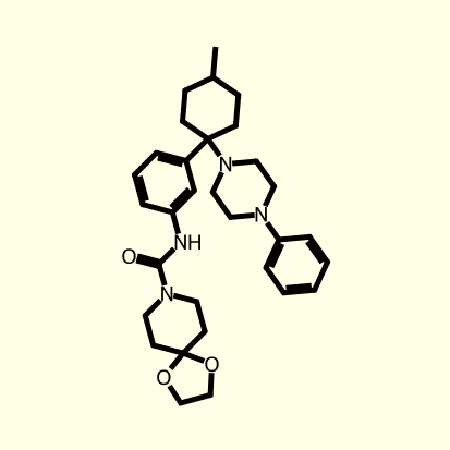 CC1CCC(c2cccc(NC(=O)N3CCC4(CC3)OCCO4)c2)(N2CCN(c3ccccc3)CC2)CC1